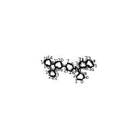 c1ccc(N(c2ccc(-c3ccc4c5ccccc5c5ccccc5c4c3)cc2)c2ccc3ccccc3c2)cc1